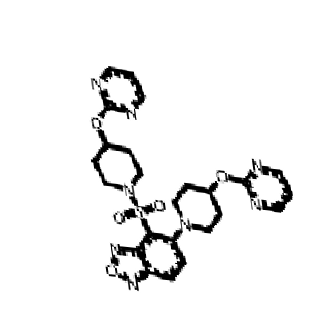 O=S(=O)(c1c(N2CCC(Oc3ncccn3)CC2)ccc2nonc12)N1CCC(Oc2ncccn2)CC1